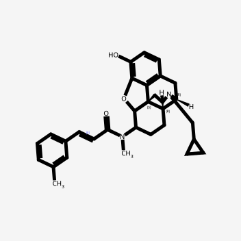 Cc1cccc(/C=C/C(=O)N(C)C2CC[C@H]3[C@H]4Cc5ccc(O)c6c5[C@@]3(CCN4CC3CC3)C2O6)c1